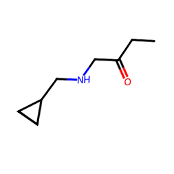 CCC(=O)CNCC1CC1